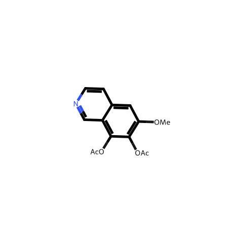 COc1cc2ccncc2c(OC(C)=O)c1OC(C)=O